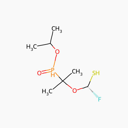 CC(C)O[PH](=O)C(C)(C)O[C@@H](F)S